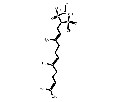 CCOP(C)(=O)C(C/C=C(\C)CC/C=C(\C)CCC=C(C)C)P(=O)(O)O